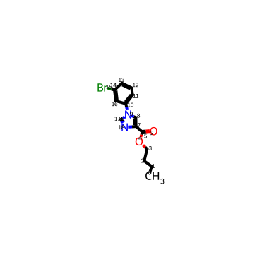 CCCCOC(=O)c1cn(-c2cccc(Br)c2)cn1